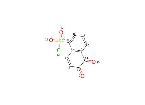 O=C1C=Cc2c(cccc2S(=O)(=O)Cl)C1=O